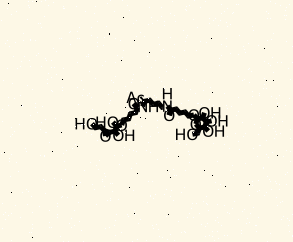 CC(=O)[C@@H](CCCCNC(=O)CCCCOC1OC(CO)C(O)C(O)C1O)NC(=O)CCCCOC(O)C(O)C1OC1CCO